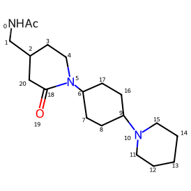 CC(=O)NCC1CCN(C2CCC(N3CCCCC3)CC2)C(=O)C1